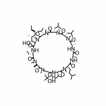 C=C1C(=O)N(C)[C@@H](CC(C)(C)O)C(=O)N[C@H](C(C)C)C(=O)N(C)[C@H](CCC(C)C)C(=O)N[C@H](C)C(=O)N[C@@H](C)C(=O)N(C)[C@@H](CC(C)C)C(=O)N(C)[C@@H](CC(C)C)C(=O)N(C)[C@@H](C(C)C)C(=O)N(C)C([C@H](O)[C@H](C)C/C=C/C)C(=O)N[C@@H](CC)C(=O)N1C